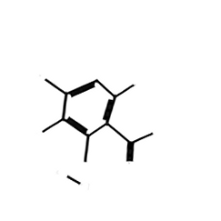 CC(=O)Cl.CC(C)c1cc(F)c(C(=O)Cl)c(C(C)C)c1C(C)C